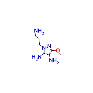 COc1nn(CCCN)c(N)c1N